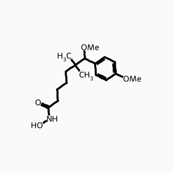 COc1ccc(C(OC)C(C)(C)CCCCC(=O)NO)cc1